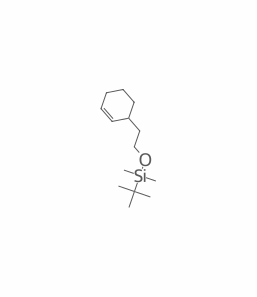 CC(C)(C)[Si](C)(C)OCCC1C=CCCC1